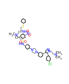 CN(C)CC[C@H](CSc1ccccc1)Nc1ccc(S(=O)(=O)Nc2ccc(N3CCN(c4cccc(-c5cnn(CCN(C)C)c5-c5ccc(Cl)cc5)c4)CC3)cc2)cc1[N+](=O)[O-]